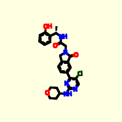 C[C@H](NC(=O)CN1Cc2ccc(-c3nc(NC4CCOCC4)ncc3Cl)cc2C1=O)c1ccccc1O